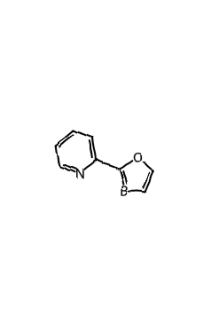 b1ccoc1-c1ccccn1